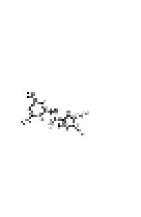 O=C(Nc1cc(Cl)cc(Cl)c1)c1cc(I)c(I)[nH]1